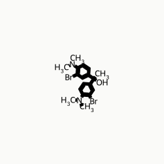 CN(C)c1ccc(C(C)(O)c2ccc(N(C)C)c(Br)c2)cc1Br